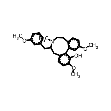 COc1cccc(CC2Cc3ccc(OC)c(O)c3-c3cc(OC)ccc3CCN2C)c1